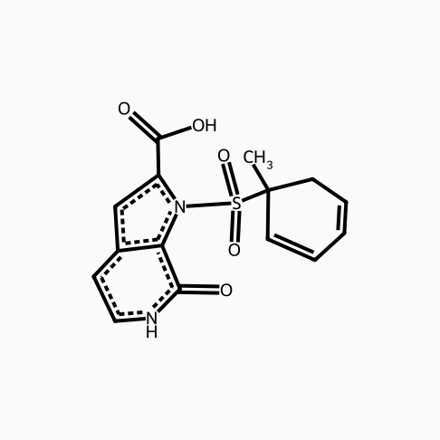 CC1(S(=O)(=O)n2c(C(=O)O)cc3cc[nH]c(=O)c32)C=CC=CC1